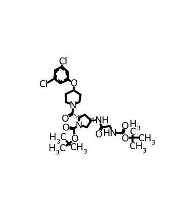 CC(C)(C)OC(=O)NCC(=O)N[C@@H]1C[C@@H](C(=O)N2CCC(Oc3cc(Cl)cc(Cl)c3)CC2)N(C(=O)OC(C)(C)C)C1